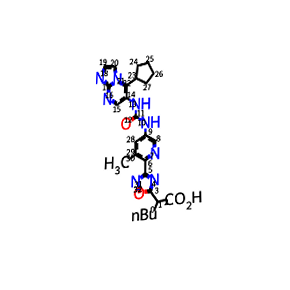 CCCCC(C(=O)O)c1nc(-c2ncc(NC(=O)Nc3cnc4nccn4c3C3CCCC3)cc2C)no1